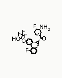 N[C@@H]1CN(C(=O)[C@@H]2C[C@H]2c2ccccc2-c2c(F)cccc2F)CC[C@@H]1F.O=C(O)C(F)(F)F